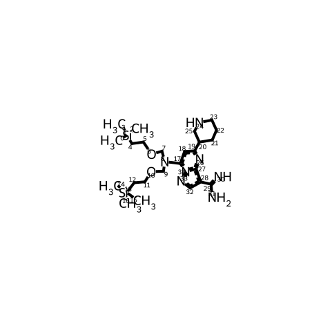 C[Si](C)(C)CCOCN(COCC[Si](C)(C)C)c1cc(C2CCCNC2)nc2c(C(=N)N)cnn12